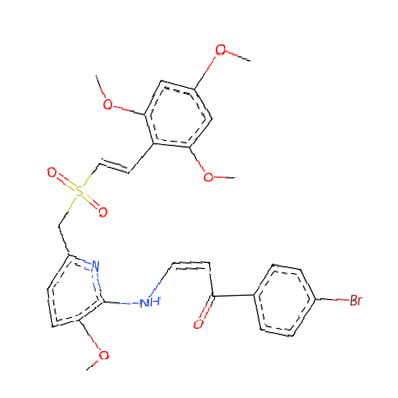 COc1cc(OC)c(/C=C/S(=O)(=O)Cc2ccc(OC)c(N/C=C\C(=O)c3ccc(Br)cc3)n2)c(OC)c1